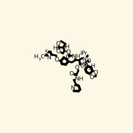 Cc1nc(COc2ccc(CC(NC(=O)O[C@H]3CO[C@H]4OCC[C@H]43)C(CN(CC(C)C)S(=O)(=O)c3ccc4c(c3)OCO4)[C@H](OCC(=O)NCc3ccccn3)C(=O)O)cc2)cs1